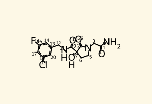 NC(=O)CN1CCC(O)(C(=O)NCc2cc(F)cc(Cl)c2)C1=O